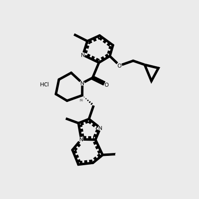 Cc1ccc(OCC2CC2)c(C(=O)N2CCCC[C@H]2Cc2nc3c(C)cccn3c2C)n1.Cl